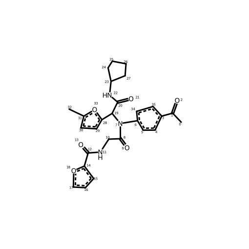 CC(=O)c1ccc(N(C(=O)CNC(=O)c2ccco2)C(C(=O)NC2CCCC2)c2ccc(C)o2)cc1